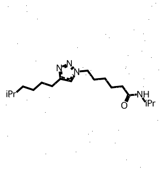 CC(C)CCCCc1cn(CCCCCC(=O)NC(C)C)nn1